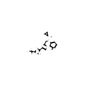 [O-][S+](C1CC1)N(Cc1ncc(-c2noc(C(F)(F)F)n2)s1)c1cccc(Cl)c1